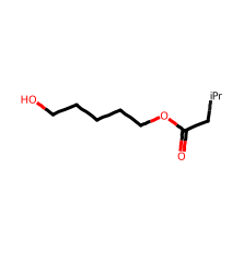 CC(C)CC(=O)OCCCCCO